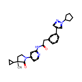 N#C[C@@]1(C2CC2)CCN(c2ccnc(NC(=O)Cc3cccc(-c4cnn(C5CCCC5)c4)c3)c2)C1=O